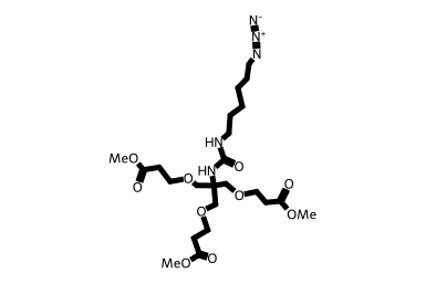 COC(=O)CCOCC(COCCC(=O)OC)(COCCC(=O)OC)NC(=O)NCCCCCCN=[N+]=[N-]